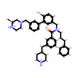 C[C@H]1CN(Cc2cccc(-c3cc(CN(CCCc4ccccc4)C(=O)c4cccc(CC5CCNCC5)c4)ccc3F)c2)CCN1